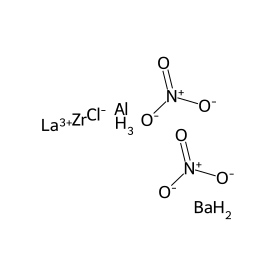 O=[N+]([O-])[O-].O=[N+]([O-])[O-].[AlH3].[BaH2].[Cl-].[La+3].[Zr]